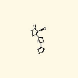 N#Cc1[nH]nnc1-c1csc(-c2ccsc2)n1